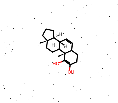 C[C@@]12CCC[C@H]1[C@@H]1C=CC3CCC(O)=C(O)[C@]3(C)[C@H]1CC2